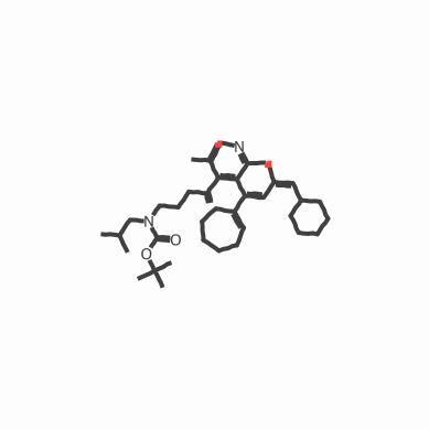 C=C(C)/C(C(=C)CCCN(CC(C)C)C(=O)OC(C)(C)C)=C(C(=C\C(C)=C/C1CCCCC1)/C1=CCCCCC1)\C(C)=N/C